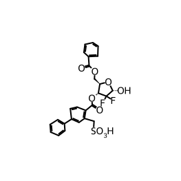 O=C(OC[C@H]1O[C@H](O)C(F)(F)[C@@H]1OC(=O)c1ccc(-c2ccccc2)cc1CS(=O)(=O)O)c1ccccc1